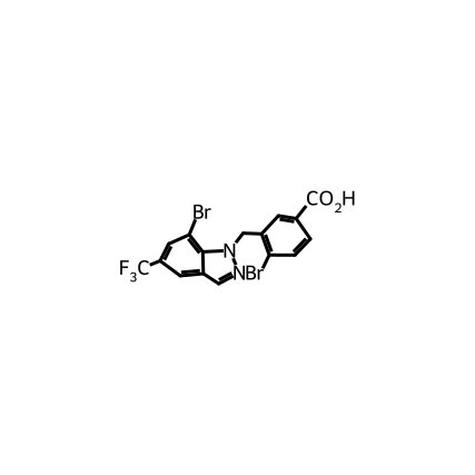 O=C(O)c1ccc(Br)c(Cn2ncc3cc(C(F)(F)F)cc(Br)c32)c1